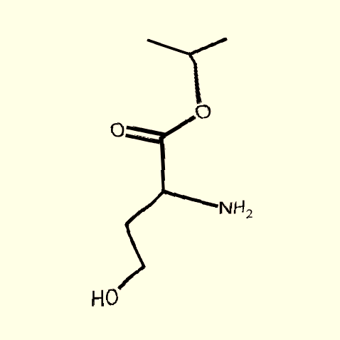 CC(C)OC(=O)C(N)CCO